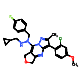 COc1ccc(-c2c(C)nn3c(N(Cc4ccc(F)cc4)NCC4CC4)c4c(nc23)COC4)c(Cl)c1